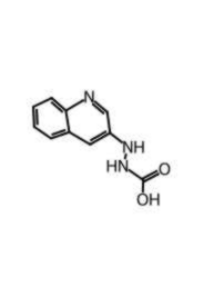 O=C(O)NNc1cnc2ccccc2c1